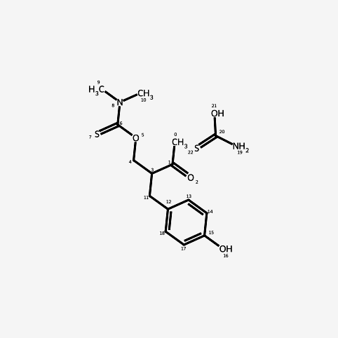 CC(=O)C(COC(=S)N(C)C)Cc1ccc(O)cc1.NC(O)=S